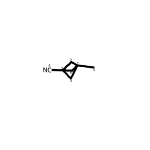 CC12CC(C#N)(C1)C2